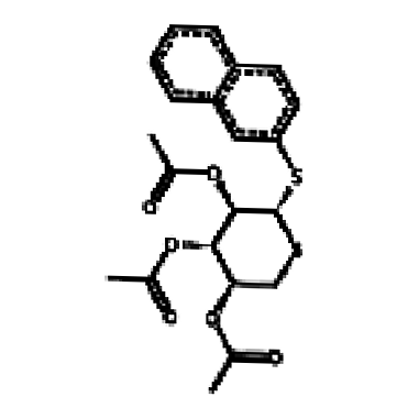 CC(=O)O[C@@H]1[C@@H](OC(C)=O)[C@H](Sc2ccc3ccccc3c2)SC[C@H]1OC(C)=O